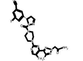 Cc1nn(CC(N)=O)nc1-c1nc(N2CCN(C(=O)N3N=CC[C@H]3c3cc(F)cc(C#N)c3)CC2)ncc1F